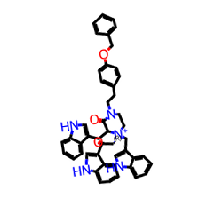 O=C(C[N@@+]1(Cc2c[nH]c3ccccc23)CCN(CCc2ccc(OCc3ccccc3)cc2)C(=O)C1Cc1c[nH]c2ccccc12)c1c[nH]c2ccccc12